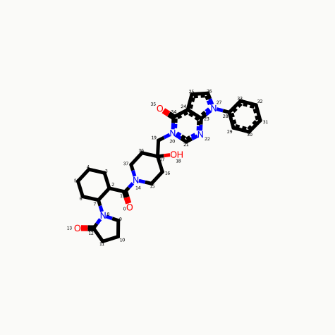 O=C(C1CCCCC1N1CCCC1=O)N1CCC(O)(Cn2cnc3c(ccn3-c3ccccc3)c2=O)CC1